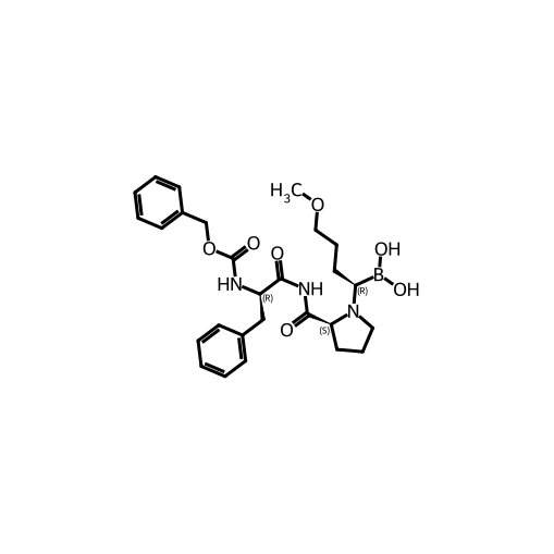 COCCC[C@@H](B(O)O)N1CCC[C@H]1C(=O)NC(=O)[C@@H](Cc1ccccc1)NC(=O)OCc1ccccc1